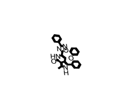 Cc1[nH]c(-c2ccccc2Oc2ccccc2)c2cc(-c3nc(-c4ccccc4)no3)[nH]c(=O)c12